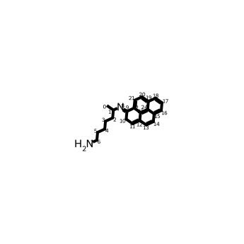 CC(CCCCCN)N=C1CC=c2ccc3cccc4ccc1c2c43